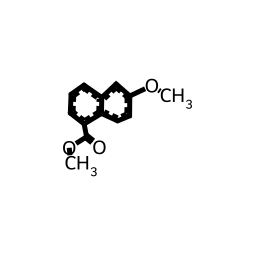 COC(=O)c1cccc2cc(OC)ccc12